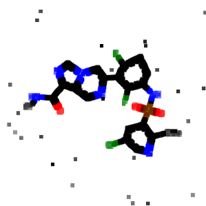 COc1ncc(Cl)cc1S(=O)(=O)Nc1ccc(F)c(-c2cn3cnc(C(=O)NC(C)C)c3cn2)c1F